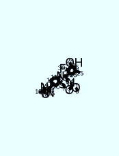 COC(=O)N=C(SC)C(=Nc1ccc(-c2noc(C)n2)cc1)c1cc(C)cc(O)c1F